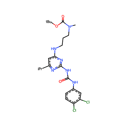 CC(C)c1cc(NCCCN(C)C(=O)OC(C)(C)C)nc(NC(=O)Nc2ccc(Cl)c(Cl)c2)n1